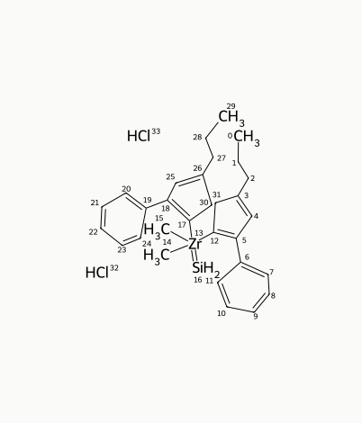 CCCC1=CC(c2ccccc2)=[C]([Zr]([CH3])([CH3])(=[SiH2])[C]2=C(c3ccccc3)C=C(CCC)C2)C1.Cl.Cl